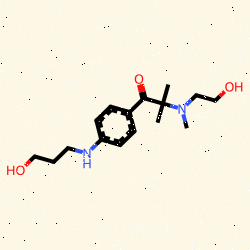 CN(CCO)C(C)(C)C(=O)c1ccc(NCCCO)cc1